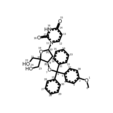 COc1ccc(C(O[C@@H]2C[C@H](n3ccc(=O)[nH]c3=O)OC2(CO)CO)(c2ccccc2)c2ccccc2)cc1